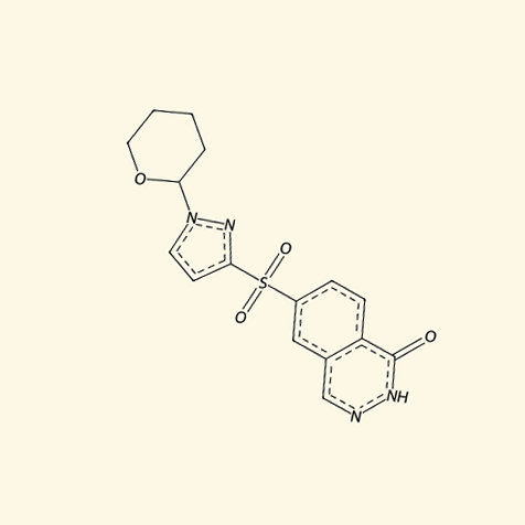 O=c1[nH]ncc2cc(S(=O)(=O)c3ccn(C4CCCCO4)n3)ccc12